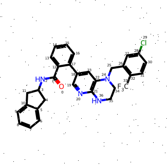 O=C(NC1Cc2ccccc2C1)c1ccccc1-c1cnc2c(c1)N(Cc1cc(Cl)ccc1C(F)(F)F)CCN2